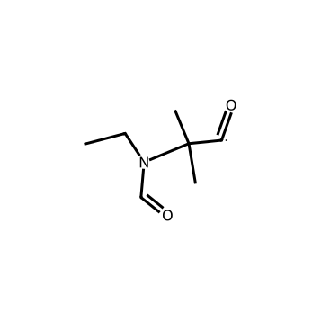 CCN(C=O)C(C)(C)[C]=O